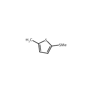 [CH2]c1ccc(SC)s1